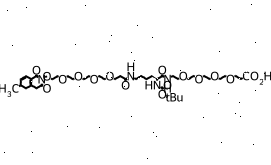 CC1C=CC2=C(CC(=O)N(OCCOCCOCCOCCOCCC(=O)NCCCC[C@H](NC(=O)OC(C)(C)C)C(=O)NCCOCCOCCOCCOCCC(=O)O)C2=O)C1